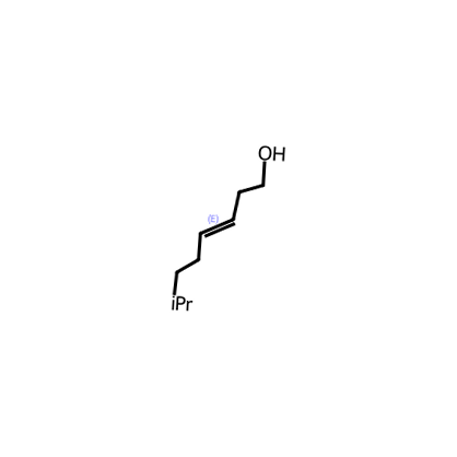 CC(C)CC/C=C/CCO